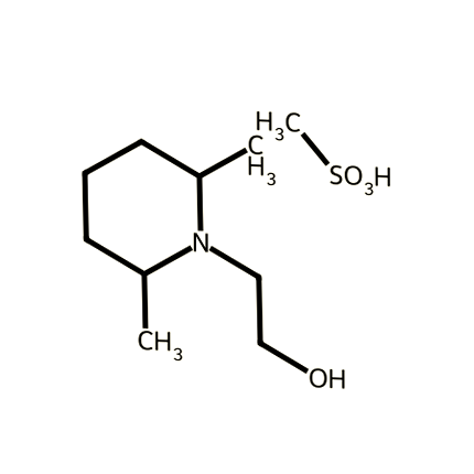 CC1CCCC(C)N1CCO.CS(=O)(=O)O